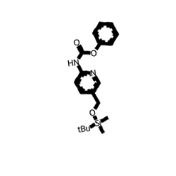 CC(C)(C)[Si](C)(C)OCc1ccc(NC(=O)Oc2ccccc2)nc1